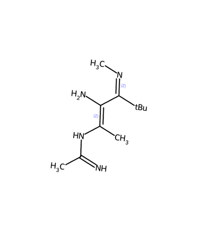 C/N=C(\C(N)=C(/C)NC(C)=N)C(C)(C)C